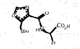 CCC(NC(=O)c1ncoc1C(C)(C)C)C(=O)O